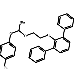 CCC(C)c1ccc(OC(OCCOc2c(-c3ccccc3)cccc2-c2ccccc2)C(C)(C)C)cc1